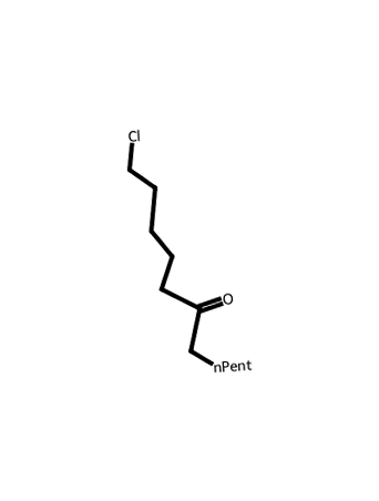 [CH2]CCCCCC(=O)CCCCCCl